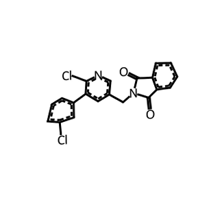 O=C1c2ccccc2C(=O)N1Cc1cnc(Cl)c(-c2cccc(Cl)c2)c1